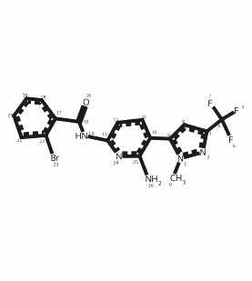 Cn1nc(C(F)(F)F)cc1-c1ccc(NC(=O)c2ccccc2Br)nc1N